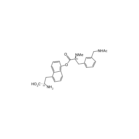 CN[C@@H](Cc1cccc(CNC(C)=O)c1)C(=O)Oc1cccc2c(C[C@H](N)C(=O)O)cccc12